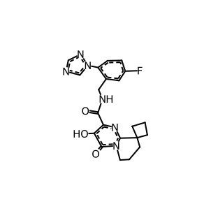 O=C(NCc1cc(F)ccc1-n1cncn1)c1nc2n(c(=O)c1O)CCCC21CCC1